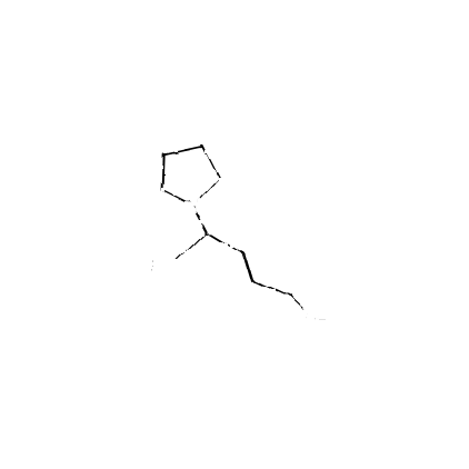 CC(CCCO)N1CCCC1